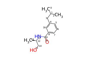 CC(C)Cc1cccc(C(=O)N[C@H](C)CO)c1